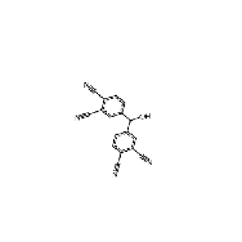 N#Cc1ccc(C(O)c2ccc(C#N)c(C#N)c2)cc1C#N